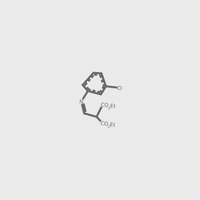 CCOC(=O)C(/C=N\c1cccc(Cl)c1)C(=O)OCC